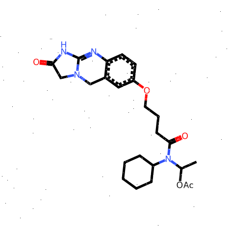 CC(=O)OC(C)N(C(=O)CCCOc1ccc2c(c1)CN1CC(=O)NC1=N2)C1CCCCC1